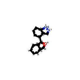 [c]1n[nH]c2cccc(-c3occ4ccccc34)c12